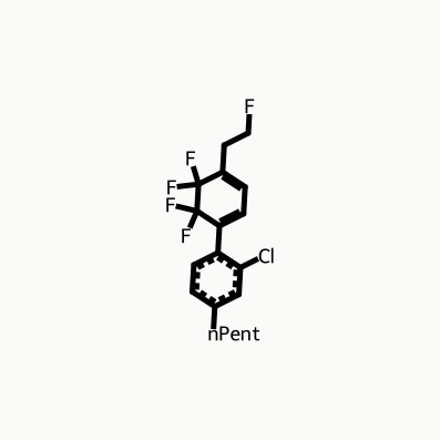 CCCCCc1ccc(C2=CC=C(CCF)C(F)(F)C2(F)F)c(Cl)c1